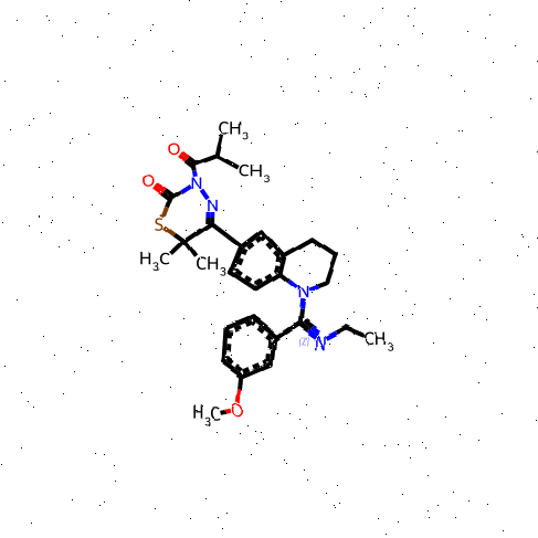 CC/N=C(/c1cccc(OC)c1)N1CCCc2cc(C3=NN(C(=O)C(C)C)C(=O)SC3(C)C)ccc21